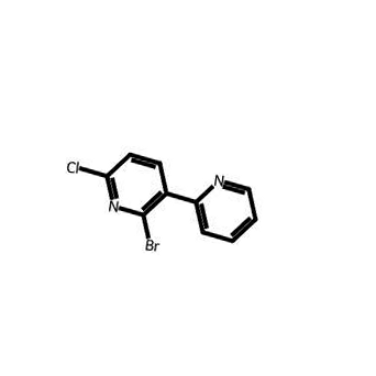 Clc1ccc(-c2ccccn2)c(Br)n1